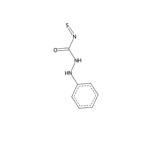 O=C(N=S)NNc1ccccc1